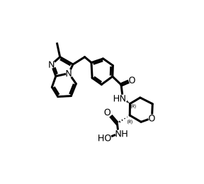 Cc1nc2ccccn2c1Cc1ccc(C(=O)N[C@@H]2CCOC[C@@H]2C(=O)NO)cc1